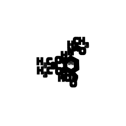 CC(=O)N[C@@H]1C=C[C@@](O)(C=O)[C@H]2OC(C)(C)O[C@@H]12